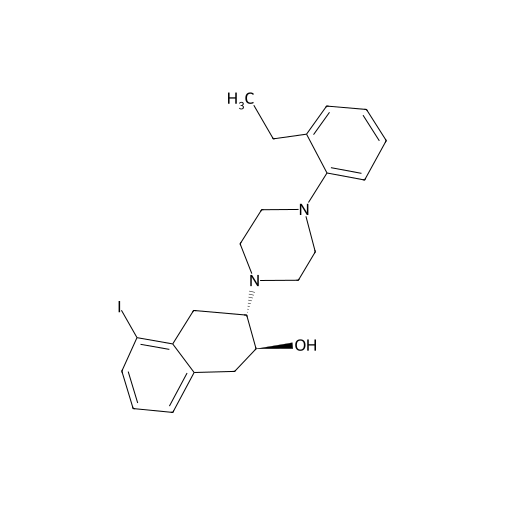 CCc1ccccc1N1CCN([C@H]2Cc3c(I)cccc3C[C@@H]2O)CC1